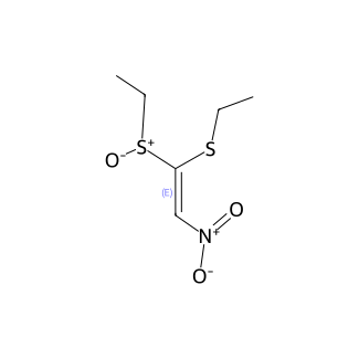 CCS/C(=C\[N+](=O)[O-])[S+]([O-])CC